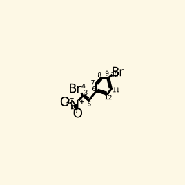 O=[N+]([O-])C(Br)=Cc1ccc(Br)cc1